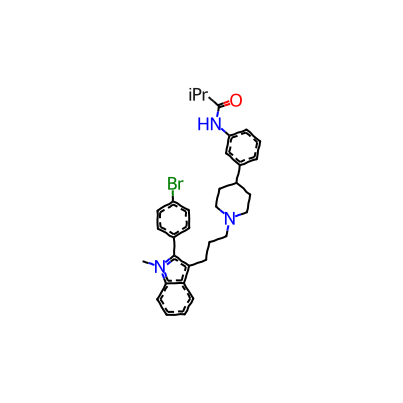 CC(C)C(=O)Nc1cccc(C2CCN(CCCc3c(-c4ccc(Br)cc4)n(C)c4ccccc34)CC2)c1